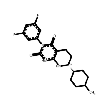 CC1CCC([C@H]2CCc3c([nH]c(=O)n(-c4cc(F)cc(F)c4)c3=O)N2)CC1